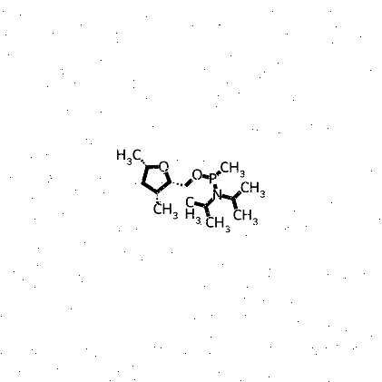 CC(C)N(C(C)C)P(C)OC[C@H]1O[C@@H](C)C[C@H]1C